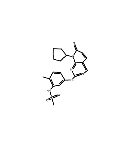 Cc1ccc(Nc2ncc3ccc(=O)n(C4CCCC4)c3n2)cc1NS(C)(=O)=O